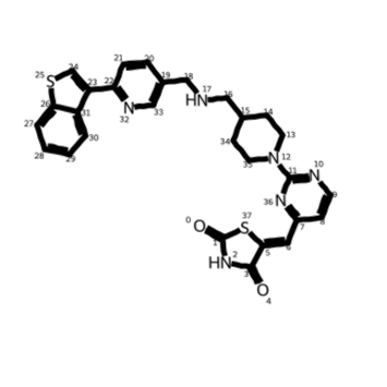 O=C1NC(=O)C(=Cc2ccnc(N3CCC(CNCc4ccc(-c5csc6ccccc56)nc4)CC3)n2)S1